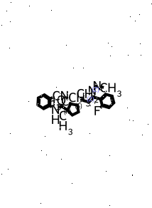 C=C(/C=C(\N=N/C)c1ccccc1F)[C@@H]1CC[C@@](C)(C(=O)Nc2ccccc2C#N)C1(C)C